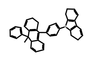 CC1(c2ccccc2)C2=C(CCC=C2)C(c2ccc(-n3c4c(c5c3CCC=C5)C=CCC4)cc2)=C2C=CC=CC21